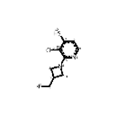 FCC1CN(c2nccc(S)c2Cl)C1